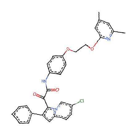 Cc1cc(C)nc(OCCOc2ccc(NC(=O)C(=O)c3c(-c4ccccc4)cc4ccc(Cl)cn34)cc2)c1